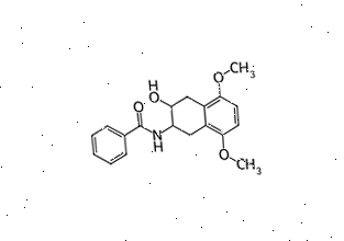 COc1ccc(OC)c2c1CC(O)C(NC(=O)c1ccccc1)C2